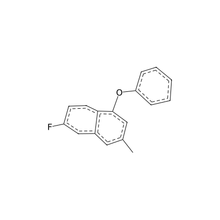 Cc1cc(Oc2ccccc2)c2ccc(F)cc2c1